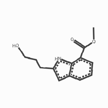 COC(=O)c1cccc2cc(CCCO)[nH]c12